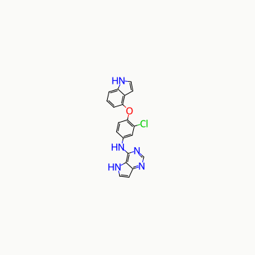 Clc1cc(Nc2ncnc3cc[nH]c23)ccc1Oc1cccc2[nH]ccc12